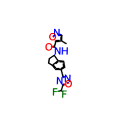 Cc1cnoc1C(=O)NC1CCc2cc(-c3noc(C(F)F)n3)ccc21